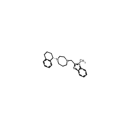 Cn1c(CN2CCCN([C@H]3CCCc4ccccc43)CC2)nc2ccccc21